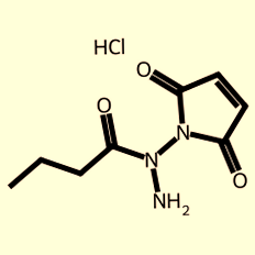 CCCC(=O)N(N)N1C(=O)C=CC1=O.Cl